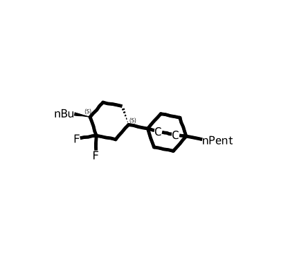 CCCCCC12CCC([C@H]3CC[C@H](CCCC)C(F)(F)C3)(CC1)CC2